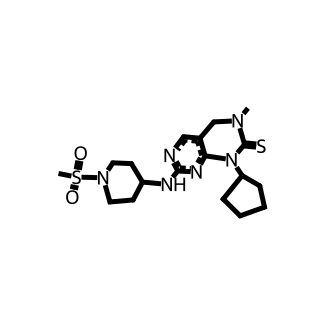 CN1Cc2cnc(NC3CCN(S(C)(=O)=O)CC3)nc2N(C2CCCC2)C1=S